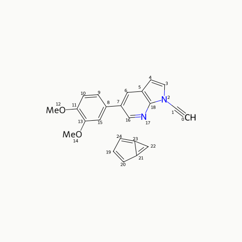 C#Cn1ccc2cc(-c3ccc(OC)c(OC)c3)cnc21.c1cc2cc-2c1